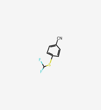 N#Cc1ccc(SC(F)F)cc1